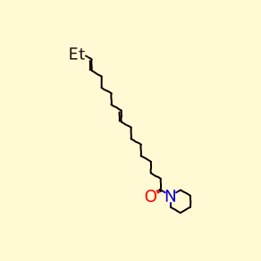 CC/C=C/CCCC/C=C/CCCCCCCC(=O)N1CCCCC1